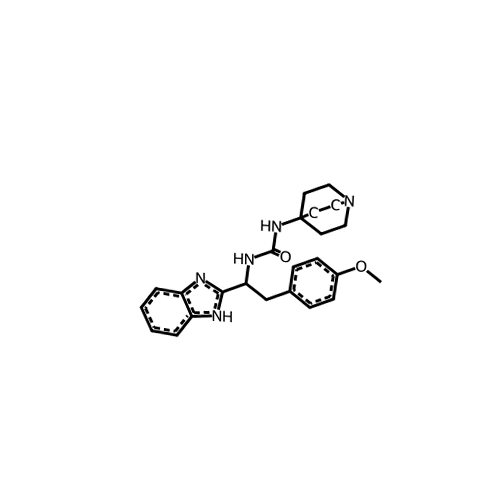 COc1ccc(CC(NC(=O)NC23CCN(CC2)CC3)c2nc3ccccc3[nH]2)cc1